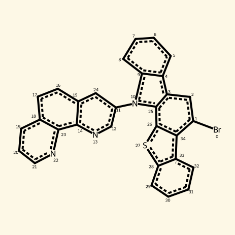 Brc1cc2c3ccccc3n(-c3cnc4c(ccc5cccnc54)c3)c2c2sc3ccccc3c12